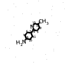 CC1CCC(C2CCC(N)CC2)=NC1